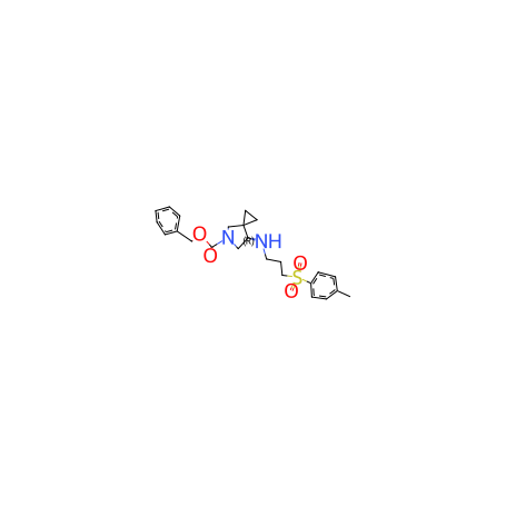 Cc1ccc(S(=O)(=O)CCCN[C@H]2CN(C(=O)OCc3ccccc3)CC23CC3)cc1